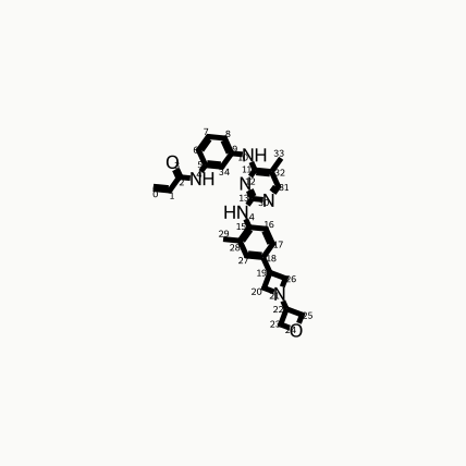 C=CC(=O)Nc1cccc(Nc2nc(Nc3ccc(C4CN(C5COC5)C4)cc3C)ncc2C)c1